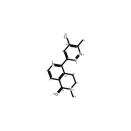 Cc1nnc(-c2nccc3c2CCN(C)C3=O)cc1Cl